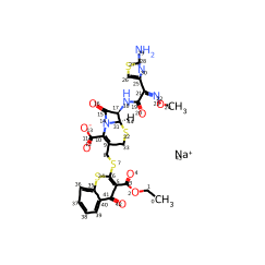 CCOC(=O)c1c(SCC2=C(C(=O)[O-])N3C(=O)[C@@H](NC(=O)/C(=N\OC)c4csc(N)n4)[C@H]3SC2)sc2ccccc2c1=O.[Na+]